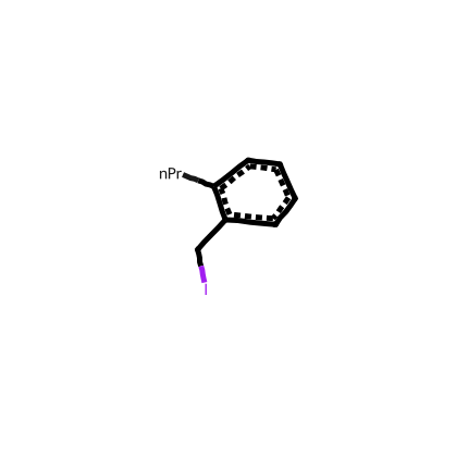 CCCc1ccccc1CI